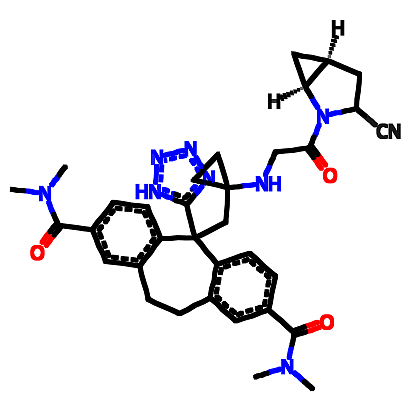 CN(C)C(=O)c1ccc2c(c1)CCc1cc(C(=O)N(C)C)ccc1C2(CC1(NCC(=O)N2C(C#N)C[C@@H]3C[C@@H]32)CC1)c1nnn[nH]1